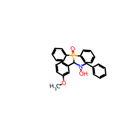 COc1cccc(C(N(O)Cc2ccccc2)P(=O)(c2ccccc2)c2ccccc2)c1